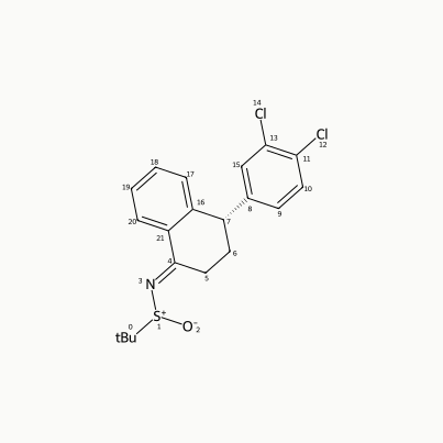 CC(C)(C)[S+]([O-])/N=C1\CC[C@@H](c2ccc(Cl)c(Cl)c2)c2ccccc21